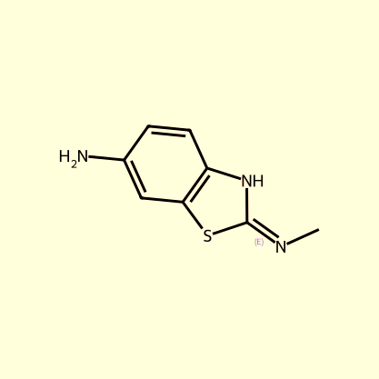 C/N=c1\[nH]c2ccc(N)cc2s1